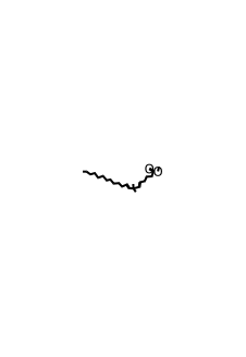 CCCCCCCCCCCC=CC(C)(C)C=CCCCC(=O)OC